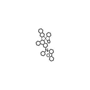 c1ccc(N(c2ccc3c4c(c5ccccc5c3c2)-c2cc3ccccc3cc2C42c3ccccc3-c3ccccc32)c2cccc3c2oc2ccccc23)cc1